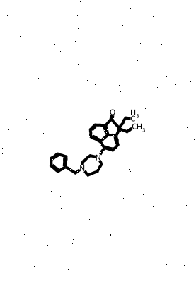 CCC1(CC)C(=O)c2cccc3c(N4CCCN(Cc5ccccc5)CC4)ccc1c23